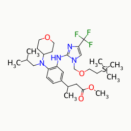 COC(=O)CC(C)c1ccc(N(CC(C)C)C2CCOCC2)c(Nc2nc(C(F)(F)F)cn2COCC[Si](C)(C)C)c1